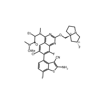 CCC(C(=O)N(C)OC)N(C)c1nc(OC[C@@]23CCCN2C[C@H](F)C3)nc2c(F)c(-c3ccc(F)c4sc(N)c(C#N)c34)c(Cl)cc12